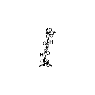 C=CC1CC1(C(=O)OCC)C(=O)OCCNC(=O)OCCOC(=O)NCCOC(=O)C1(C(=O)OCC)CC1C=C